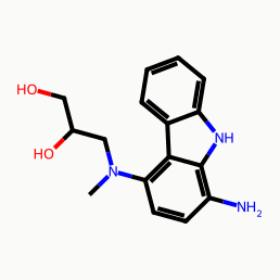 CN(CC(O)CO)c1ccc(N)c2[nH]c3ccccc3c12